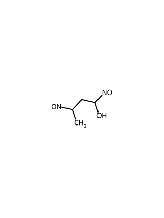 CC(CC(O)N=O)N=O